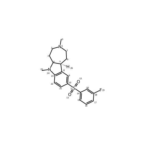 CN1CCC2[C@@H](CC1)c1cc(S(=O)(=O)c3cccc(F)c3)ccc1N2C